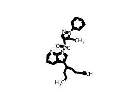 C#CC/C=C(\CCC)c1cn(S(=O)(=O)c2cnn(-c3ccccc3)c2C)c2ncccc12